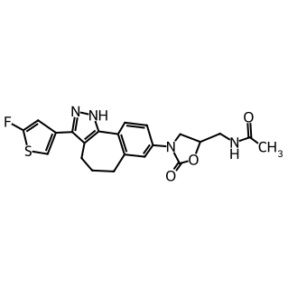 CC(=O)NCC1CN(c2ccc3c(c2)CCCc2c(-c4csc(F)c4)n[nH]c2-3)C(=O)O1